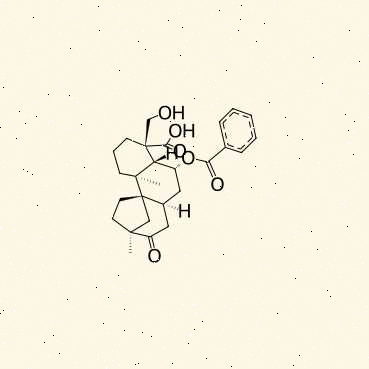 C[C@]12CC[C@]3(C1)[C@H](CC2=O)C[C@@H](OC(=O)c1ccccc1)[C@H]1[C@@](CO)(C(=O)O)CCC[C@@]13C